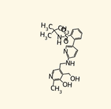 Cc1ncc(CNc2ccc(-c3ccccc3S(=O)(=O)NC(C)(C)C)cn2)c(CO)c1O